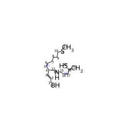 B=CC=CC(/C=C\CCCCSC)CNC/C=C\C(=C)S